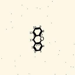 [c]1[c]c2c(cc1)Oc1ccccc1C2